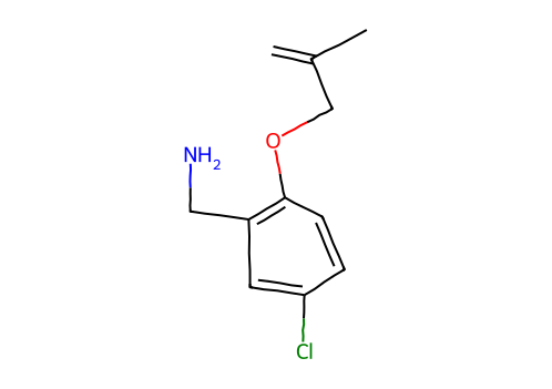 C=C(C)COc1ccc(Cl)cc1CN